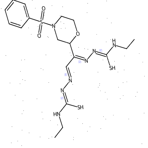 CCN/C(S)=N/N=C(/C=N/N=C(\S)NCC)C1CN(S(=O)(=O)c2ccccc2)CCO1